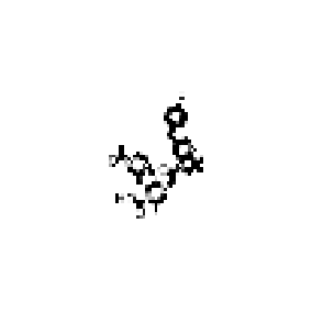 CC(=O)N1CCN(C[C@H]2CN(C(=O)O)[C@H](C)CN2CC(=O)N2CC(C)(C)c3ncc(Cc4ccc(F)cc4)cc32)C(C)C1